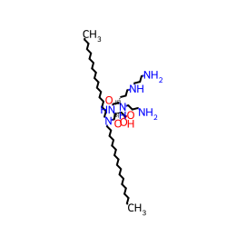 CCCCCCCCCCCCCCCCCCN(CCCCCCCCCCCCCCCCCC)C(=O)[C@H](CC(=O)O)NC(=O)[C@H](CCCNCCCN)NCCCN